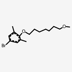 COCCCCCCCOc1c(C)cc(Br)cc1C